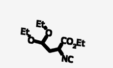 [C-]#[N+]C(CC(OCC)OCC)C(=O)OCC